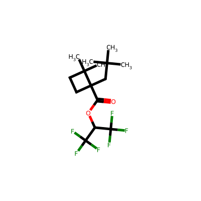 CC(C)(C)CC1(C(=O)OC(C(F)(F)F)C(F)(F)F)CCC1(C)C